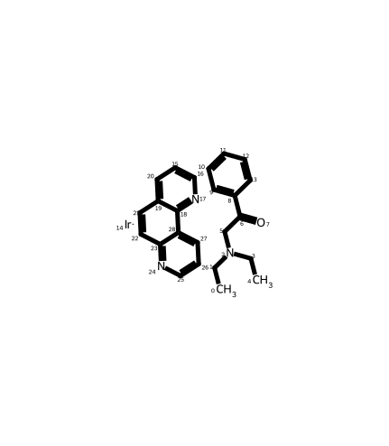 CCN(CC)CC(=O)c1ccccc1.[Ir].c1cnc2c(c1)ccc1ncccc12